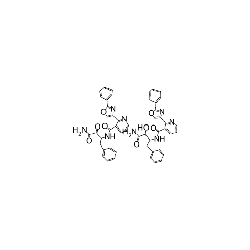 NC(=O)C(=O)C(Cc1ccccc1)NC(=O)c1cccnc1-c1coc(-c2ccccc2)n1.NC(=O)C(O)C(Cc1ccccc1)NC(=O)c1cccnc1-c1coc(-c2ccccc2)n1